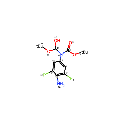 CC(C)(C)OC(=O)N(c1cc(F)c(N)c(F)c1)C(O)OC(C)(C)C